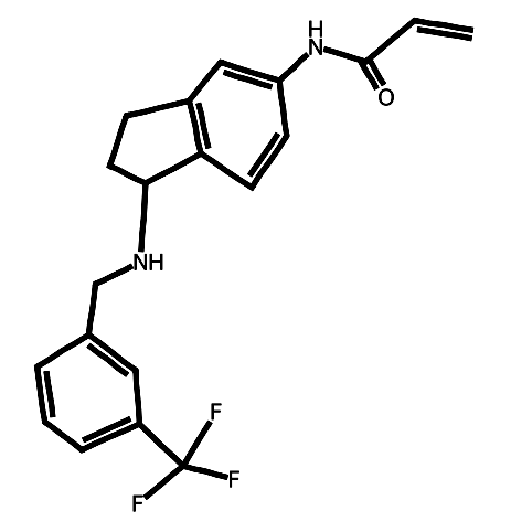 C=CC(=O)Nc1ccc2c(c1)CCC2NCc1cccc(C(F)(F)F)c1